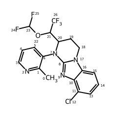 Cc1n[c]ccc1N1c2nc3c(Cl)cccc3n2CCC1C(OC(F)F)C(F)(F)F